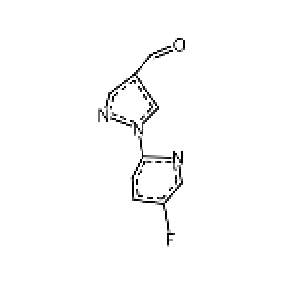 O=Cc1cnn(-c2ccc(F)cn2)c1